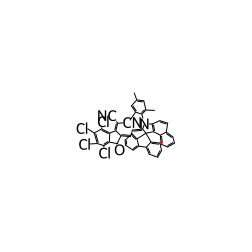 Cc1cc(C)c(N2/C(=C/C=C3/C(=O)c4c(Cl)c(Cl)c(Cl)c(Cl)c4C3=C(C#N)C#N)C3(c4ccccc4-c4ccccc43)c3c2ccc2ccccc32)c(C)c1